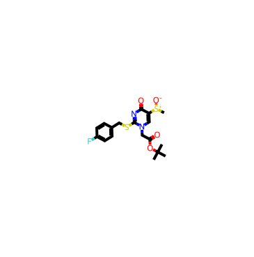 C[S+]([O-])c1cn(CC(=O)OC(C)(C)C)c(SCc2ccc(F)cc2)nc1=O